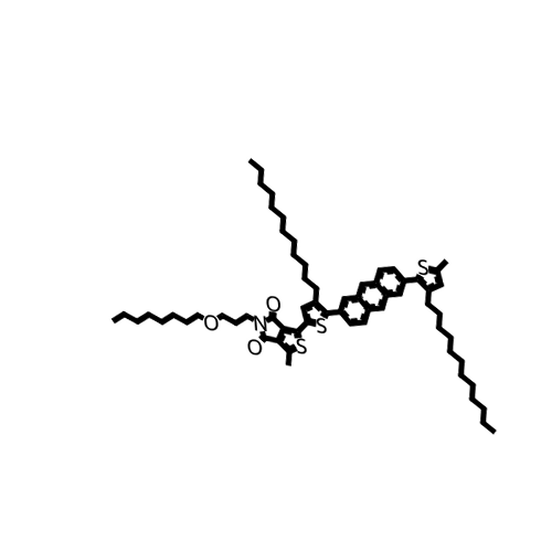 CCCCCCCCCCCCc1cc(C)sc1-c1ccc2cc3cc(-c4sc(-c5sc(C)c6c5C(=O)N(CCCOCCCCCCCC)C6=O)cc4CCCCCCCCCCCC)ccc3cc2c1